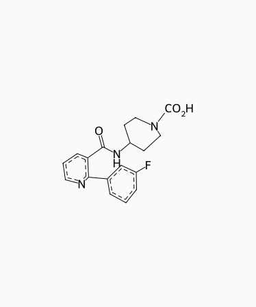 O=C(NC1CCN(C(=O)O)CC1)c1cccnc1-c1cccc(F)c1